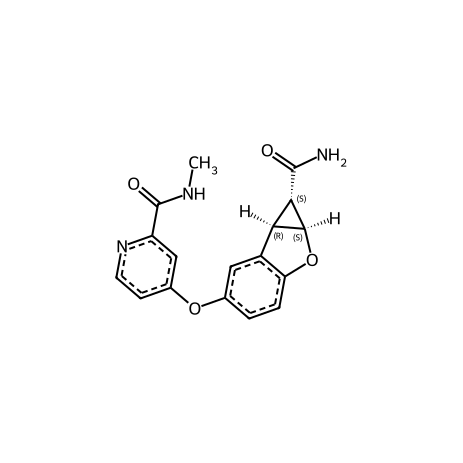 CNC(=O)c1cc(Oc2ccc3c(c2)[C@@H]2[C@H](O3)[C@H]2C(N)=O)ccn1